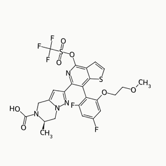 COCCOc1cc(F)cc(F)c1-c1c(-c2cc3n(n2)C[C@@H](C)N(C(=O)O)C3)nc(OS(=O)(=O)C(F)(F)F)c2ccsc12